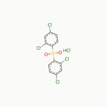 Cl.O=S(=O)(c1ccc(Cl)cc1Cl)c1ccc(Cl)cc1Cl